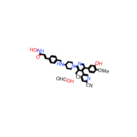 COc1ccc(-c2cnc(N3CCC(NCc4ccc(/C=C/C(=O)NO)cc4)CC3)c(CC#N)c2-c2ccc(C#N)nc2)cc1O.O=CO